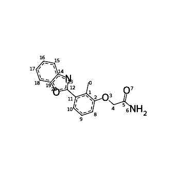 Cc1c(OCC(N)=O)cccc1-c1nc2ccccc2o1